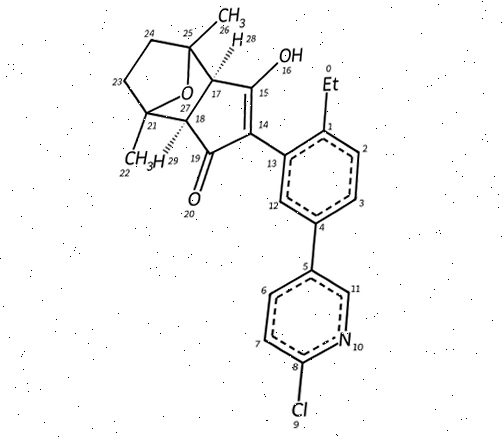 CCc1ccc(-c2ccc(Cl)nc2)cc1C1=C(O)[C@H]2[C@@H](C1=O)C1(C)CCC2(C)O1